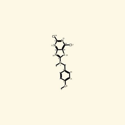 COc1ccc(CN(C)c2nc3nc(Cl)nc(Cl)c3s2)cc1